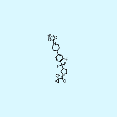 CC(C)(C)OC(=O)N1CCC(c2ccc(C(F)(F)C3CCN(C(=O)C4(C(F)(F)F)CC4)C3)c(F)c2)CC1